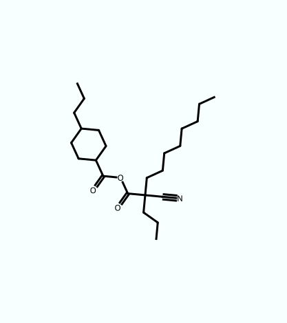 CCCCCCCCC(C#N)(CCC)C(=O)OC(=O)C1CCC(CCC)CC1